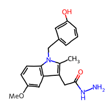 COc1ccc2c(c1)c(CC(=O)NN)c(C)n2Cc1cccc(O)c1